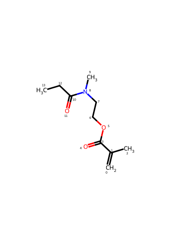 C=C(C)C(=O)OCCN(C)C(=O)CC